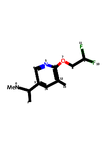 CNC(C)c1cnc(OCC(F)F)c(C)c1